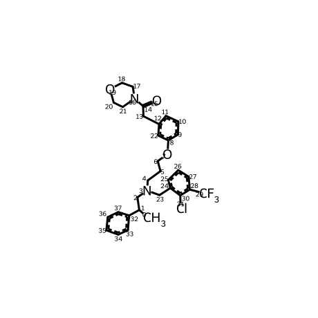 CC(CN(CCCOc1cccc(CC(=O)N2CCOCC2)c1)Cc1cccc(C(F)(F)F)c1Cl)c1ccccc1